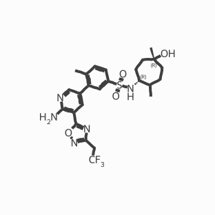 Cc1ccc(S(=O)(=O)N[C@@H]2CC[C@](C)(O)CCC2C)cc1-c1cnc(N)c(-c2nc(CC(F)(F)F)no2)c1